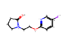 O=C1CCCN1CCOc1ccc(I)cn1